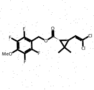 COc1c(F)c(F)c(COC(=O)[C@@H]2C(C=C(Cl)Cl)C2(C)C)c(F)c1F